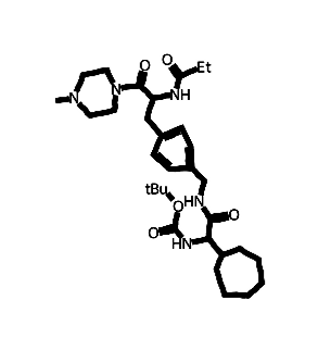 CCC(=O)NC(Cc1ccc(CNC(=O)C(NC(=O)OC(C)(C)C)C2CCCCCC2)cc1)C(=O)N1CCN(C)CC1